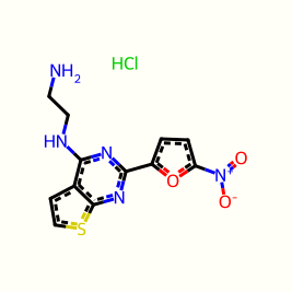 Cl.NCCNc1nc(-c2ccc([N+](=O)[O-])o2)nc2sccc12